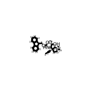 CC#C[C@]1([C@H](NC(=O)OCC2c3ccccc3-c3ccccc32)C(=O)O)CC[N+](C)(C)C1